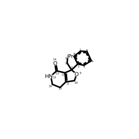 CC(C)CC1(c2ccccc2)OCC2=C1C(=O)NCC2